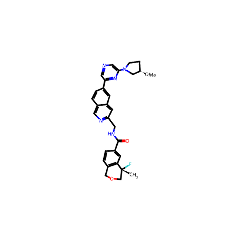 CO[C@H]1CCN(c2cncc(-c3ccc4cnc(CNC(=O)c5ccc6c(c5)[C@](C)(F)COC6)cc4c3)n2)C1